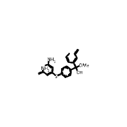 C=C/C=C(\C=C/C)C(O)(OC)c1ccc(SC(/C=C(\C)N)=C/C(=C)N)cc1